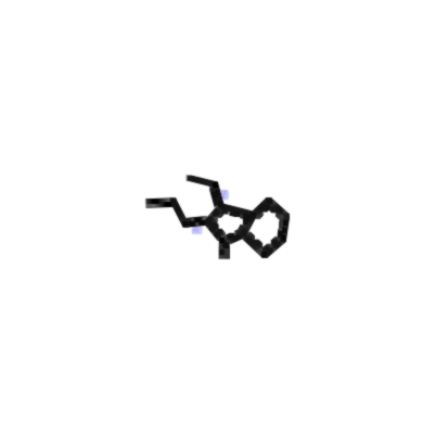 C=C/C=c1/[nH]c2ccccc2/c1=C/C